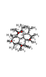 BB(B)B(B)B(B(B)B)C(B(B(B(B)B)B(B)B)B(B(B)B)B(B)B)B(B(B(B)B)B(B)B)B(B(B)B)B(B)B